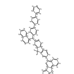 CC1(C)c2cc(-c3cc4c5ccccc5oc4c4ccccc34)ccc2-c2ccc(C(c3ccc(-c4ccc(-c5ccccc5)cc4)cc3)c3cccc4ccccc34)cc21